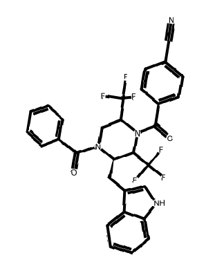 N#Cc1ccc(C(=O)N2C(C(F)(F)F)CN(C(=O)c3ccccc3)[C@H](Cc3c[nH]c4ccccc34)C2C(F)(F)F)cc1